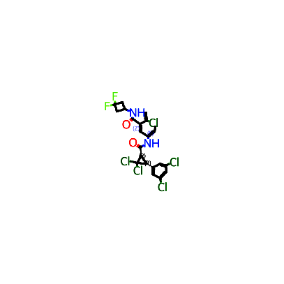 C=C(Cl)/C(=C\C(=C/C)NC(=O)[C@H]1[C@H](c2cc(Cl)cc(Cl)c2)C1(Cl)Cl)C(=O)NC1CC(F)(F)C1